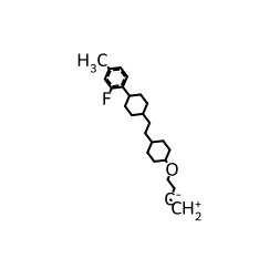 [CH2+][CH-]CCOC1CCC(CCC2CCC(c3ccc(C)cc3F)CC2)CC1